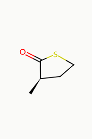 C[C@@H]1CCSC1=O